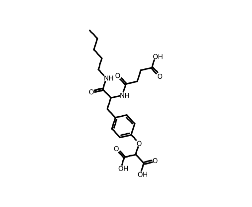 CCCCCNC(=O)C(Cc1ccc(OC(C(=O)O)C(=O)O)cc1)NC(=O)CCC(=O)O